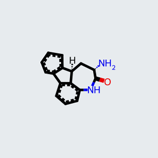 N[C@H]1C[C@@H]2c3ccccc3-c3cccc(c32)NC1=O